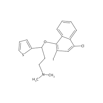 CN(C)CCC(Oc1c(I)cc(Cl)c2ccccc12)c1cccs1